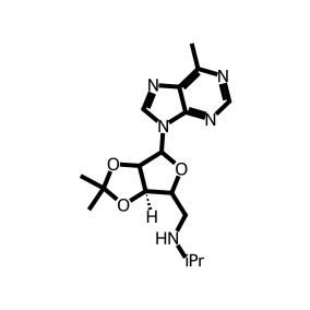 Cc1ncnc2c1ncn2C1OC(CNC(C)C)[C@H]2OC(C)(C)OC12